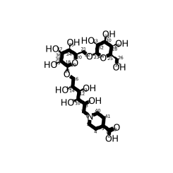 O=C(O)C1CCN(CC(O)[C@@H](O)[C@H](O)[C@H](O)CO[C@@H]2O[C@H](CO[C@@H]3O[C@H](CO)[C@@H](O)[C@H](O)[C@H]3O)[C@@H](O)[C@H](O)[C@H]2O)CC1